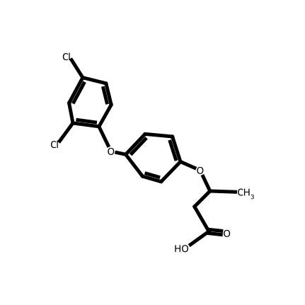 CC(CC(=O)O)Oc1ccc(Oc2ccc(Cl)cc2Cl)cc1